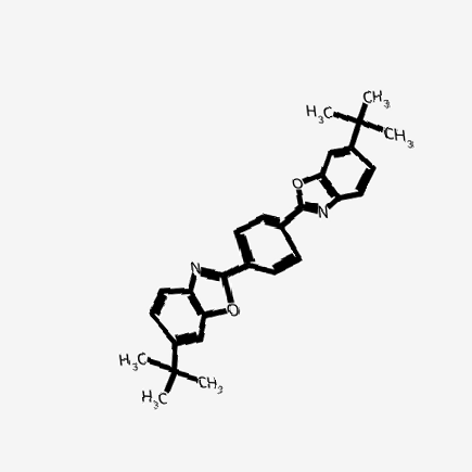 CC(C)(C)c1ccc2nc(-c3ccc(-c4nc5ccc(C(C)(C)C)cc5o4)cc3)oc2c1